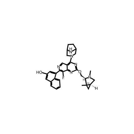 CN1C[C@H]2CC2(C)[C@H]1COc1nc(N2CC3CCC(C2)N3)c2cnc(-c3cc(O)cc4ccccc34)c(F)c2n1